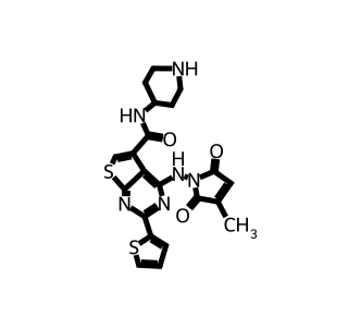 CC1=CC(=O)N(Nc2nc(-c3cccs3)nc3scc(C(=O)NC4CCNCC4)c23)C1=O